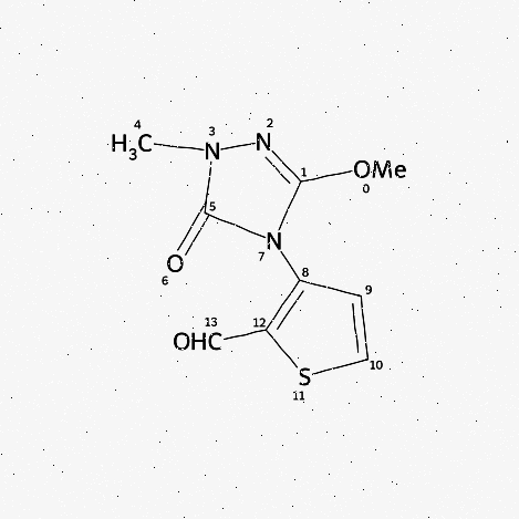 COc1nn(C)c(=O)n1-c1ccsc1C=O